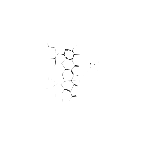 CCCN(c1cc(N)c(O)c2c1CC1CC3[C@H](N(C)C)C(O)=C(C(N)=O)C(=O)[C@@]3(O)C(O)=C1C2=O)C(C)CC.O=S(=O)(O)O